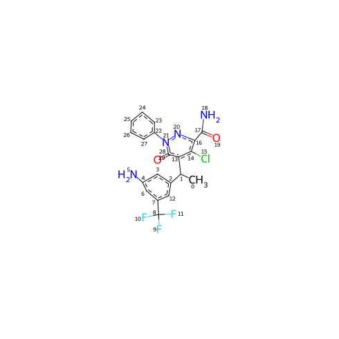 CC(c1cc(N)cc(C(F)(F)F)c1)c1c(Cl)c(C(N)=O)nn(-c2ccccc2)c1=O